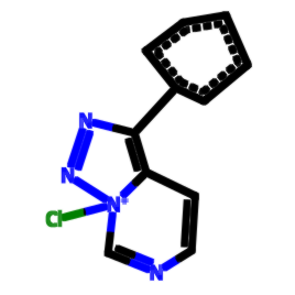 Cl[N+]12C=NC=CC1=C(c1ccccc1)N=N2